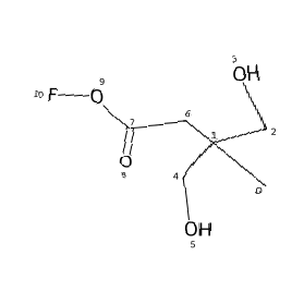 CC(CO)(CO)CC(=O)OF